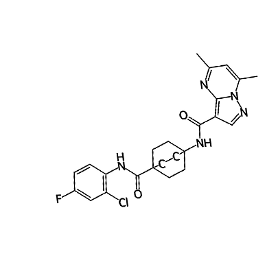 Cc1cc(C)n2ncc(C(=O)NC34CCC(C(=O)Nc5ccc(F)cc5Cl)(CC3)CC4)c2n1